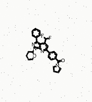 O=C(c1ccc(-c2cc(C(F)F)c3c(-c4ccccc4)nn(C4CCCCO4)c3n2)cc1)N1CCCC1